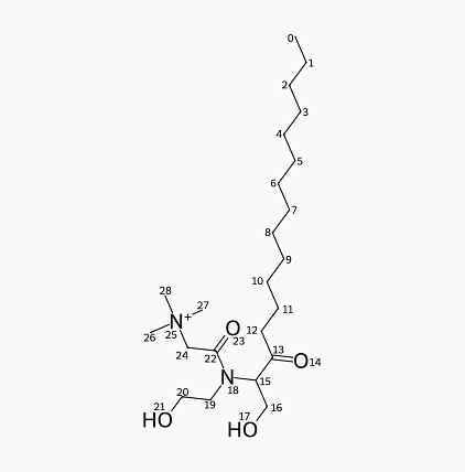 CCCCCCCCCCCCCC(=O)C(CO)N(CCO)C(=O)C[N+](C)(C)C